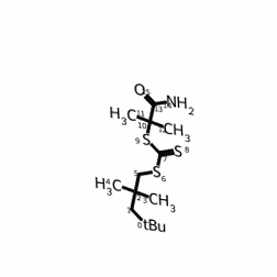 CC(C)(C)CC(C)(C)CSC(=S)SC(C)(C)C(N)=O